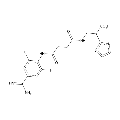 N=C(N)c1cc(F)c(NC(=O)CCC(=O)NCC(C(=O)O)c2nccs2)c(F)c1